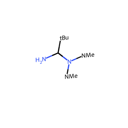 CNN(NC)C(N)C(C)(C)C